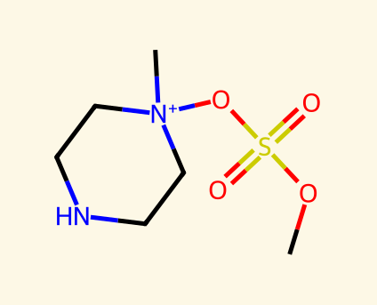 COS(=O)(=O)O[N+]1(C)CCNCC1